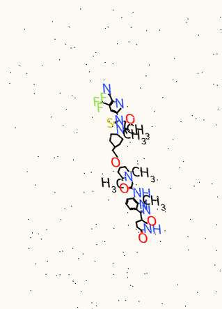 C[C@@H]1CC(OCCC2CCC(N3C(=S)N(c4cnc(C#N)c(C(F)(F)F)c4)C(=O)C3(C)C)CC2)C[C@H](C)N1CC(=O)Nc1cccc2c(C3CCC(=O)NC3=O)nn(C)c12